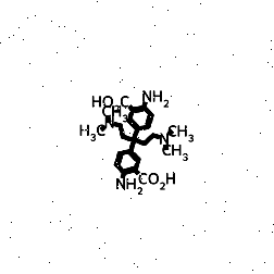 CN(C)CCC(CCN(C)C)(c1ccc(N)c(C(=O)O)c1)c1ccc(N)c(C(=O)O)c1